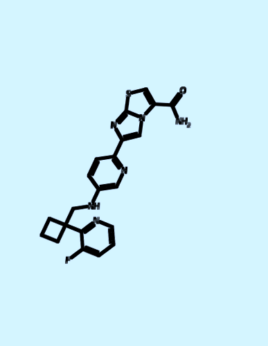 NC(=O)c1csc2nc(-c3ccc(NCC4(c5ncccc5F)CCC4)cn3)cn12